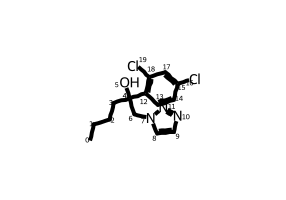 CCCCC(O)(Cn1ccnn1)c1ccc(Cl)cc1Cl